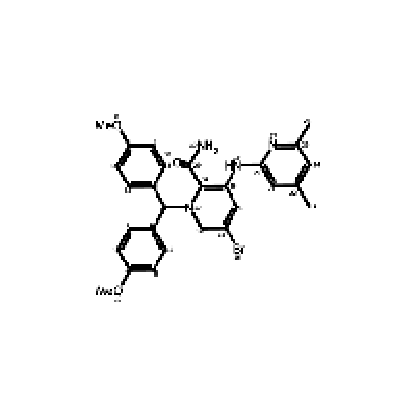 COc1ccc(C(c2ccc(OC)cc2)N2CC(Br)=CC(Nc3cc(C)cc(C)n3)=C2C(N)=O)cc1